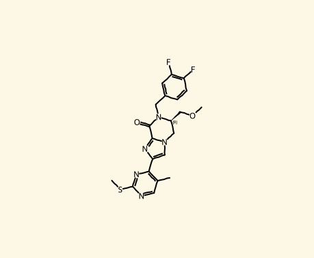 COC[C@H]1Cn2cc(-c3nc(SC)ncc3C)nc2C(=O)N1Cc1ccc(F)c(F)c1